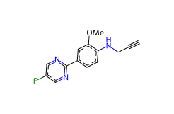 C#CCNc1ccc(-c2ncc(F)cn2)cc1OC